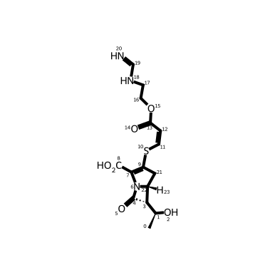 C[C@H](O)[C@@H]1C(=O)N2C(C(=O)O)=C(S/C=C\C(=O)OCCNC=N)C[C@H]12